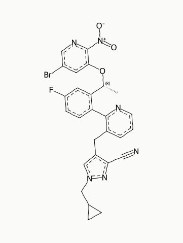 C[C@@H](Oc1cc(Br)cnc1[N+](=O)[O-])c1cc(F)ccc1-c1ncccc1Cc1cn(CC2CC2)nc1C#N